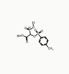 CCO[PH](=O)C(OS(=O)(=O)c1ccc(C)cc1)C(=O)OC